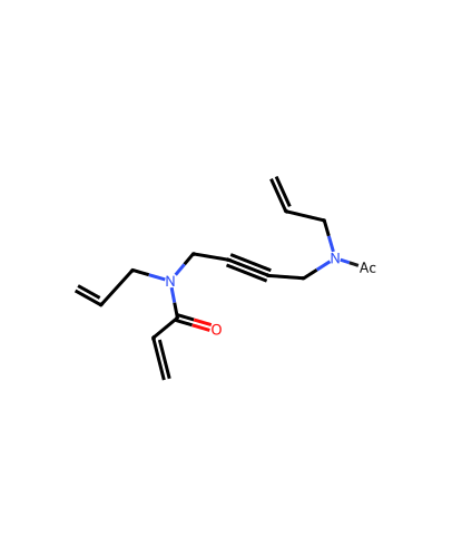 C=CCN(CC#CCN(CC=C)C(=O)C=C)C(C)=O